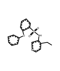 CCc1ccncc1NS(=O)(=O)c1ccccc1Oc1ccccc1